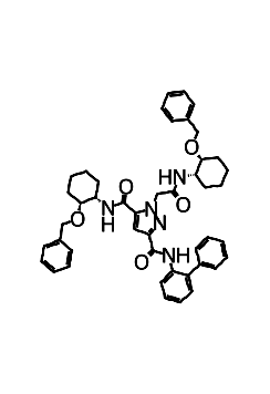 O=C(Cn1nc(C(=O)Nc2ccccc2-c2ccccc2)cc1C(=O)N[C@H]1CCCC[C@@H]1OCc1ccccc1)N[C@H]1CCCC[C@@H]1OCc1ccccc1